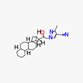 Cc1nn(CC(=O)[C@H]2[C@@H]3CC4([C@@H]5CC[C@@H]6CCCC[C@@H]6C5CC[C@]24C)[C@@H]3C)cc1C#N